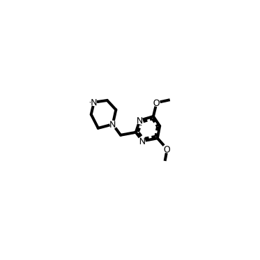 COc1cc(OC)nc(CN2CC[N]CC2)n1